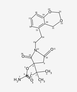 CC(C)(C)C1(OC(N)=O)CC(=O)N(CCc2cccc3c2COCO3)C1=O